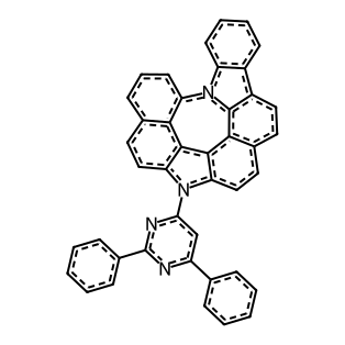 c1ccc(-c2cc(-n3c4ccc5cccc6c5c4c4c5c(ccc7c8ccccc8n6c75)ccc43)nc(-c3ccccc3)n2)cc1